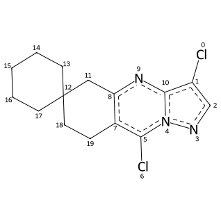 Clc1cnn2c(Cl)c3c(nc12)CC1(CCCCC1)CC3